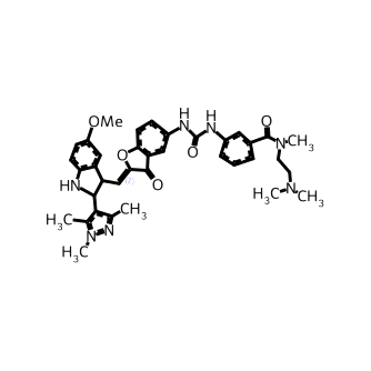 COc1ccc2c(c1)C(/C=C1\Oc3ccc(NC(=O)Nc4cccc(C(=O)N(C)CCN(C)C)c4)cc3C1=O)C(c1c(C)nn(C)c1C)N2